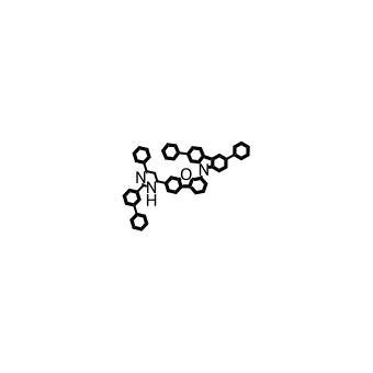 c1ccc(C2=NC(c3cccc(-c4ccccc4)c3)NC(c3ccc4c(c3)oc3c(-n5c6ccc(-c7ccccc7)cc6c6ccc(-c7ccccc7)cc65)cccc34)C2)cc1